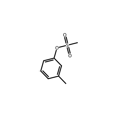 Cc1c[c]cc(OS(C)(=O)=O)c1